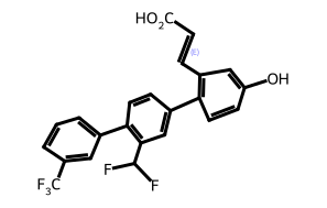 O=C(O)/C=C/c1cc(O)ccc1-c1ccc(-c2cccc(C(F)(F)F)c2)c(C(F)F)c1